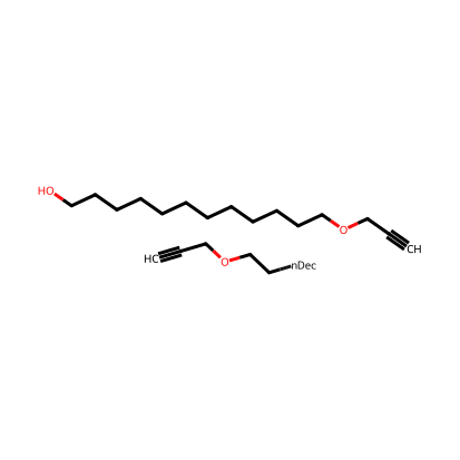 C#CCOCCCCCCCCCCCC.C#CCOCCCCCCCCCCCCO